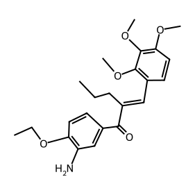 CCC/C(=C\c1ccc(OC)c(OC)c1OC)C(=O)c1ccc(OCC)c(N)c1